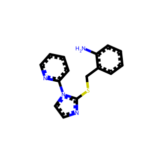 Nc1ccccc1CSc1nccn1-c1ccccn1